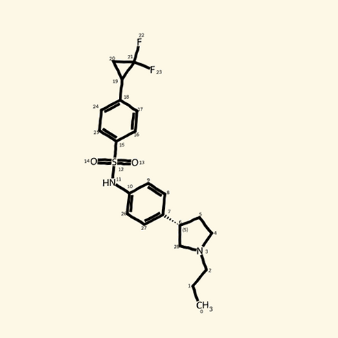 CCCN1CC[C@@H](c2ccc(NS(=O)(=O)c3ccc(C4CC4(F)F)cc3)cc2)C1